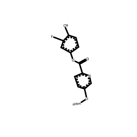 CCCCCCOc1ccc(C(=O)Oc2ccc(C#N)c(F)c2)nc1